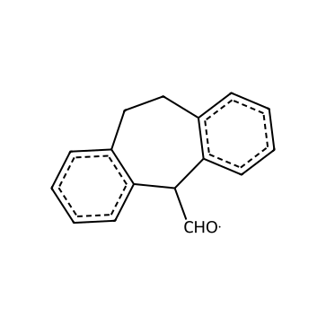 O=[C]C1c2ccccc2CCc2ccccc21